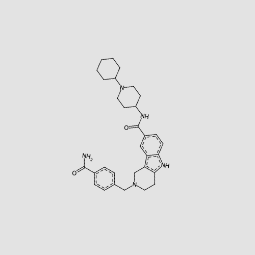 NC(=O)c1ccc(CN2CCc3[nH]c4ccc(C(=O)NC5CCN(C6CCCCC6)CC5)cc4c3C2)cc1